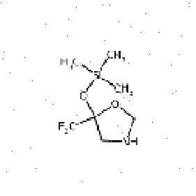 C[Si](C)(C)OC1(C(F)(F)F)CNCO1